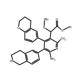 Cc1nc(N)c(-c2ccc3c(c2)CCNC3)c(-c2ccc3c(c2)CCCO3)c1C(OC(C)(C)C)C(=O)OC(C)C